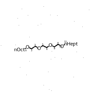 CCCCCCCCOCCOCCOCCOCCCCCCC